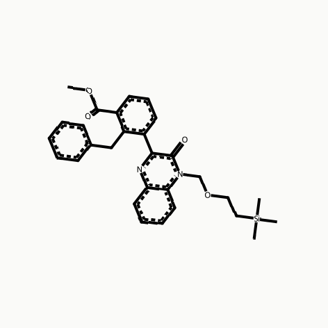 COC(=O)c1cccc(-c2nc3ccccc3n(COCC[Si](C)(C)C)c2=O)c1Cc1ccccc1